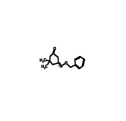 CC1(C)CC(=O)C/C(=N\OCc2ccccc2)C1